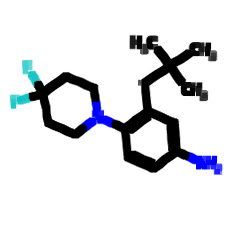 CC(C)(C)[CH]c1cc(N)ccc1N1CCC(F)(F)CC1